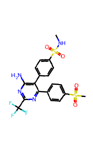 CNS(=O)(=O)c1ccc(-c2c(N)nc(C(F)(F)F)nc2-c2ccc(S(C)(=O)=O)cc2)cc1